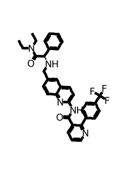 CCN(CC)C(=O)[C@@H](NCc1ccc2nc(NC(=O)c3cccnc3-c3ccc(C(F)(F)F)cc3)ccc2c1)c1ccccc1